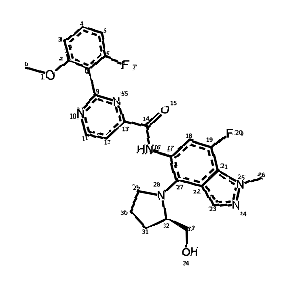 COc1cccc(F)c1-c1nccc(C(=O)Nc2cc(F)c3c(cnn3C)c2N2CCC[C@@H]2CO)n1